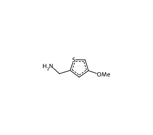 COc1csc(CN)c1